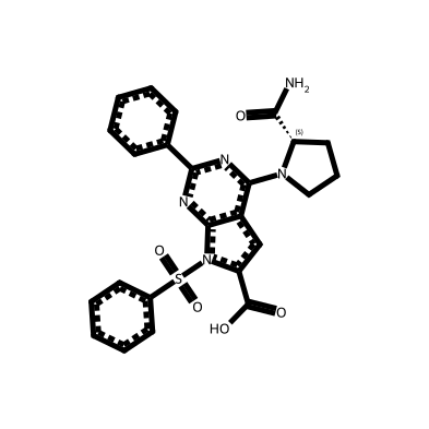 NC(=O)[C@@H]1CCCN1c1nc(-c2ccccc2)nc2c1cc(C(=O)O)n2S(=O)(=O)c1ccccc1